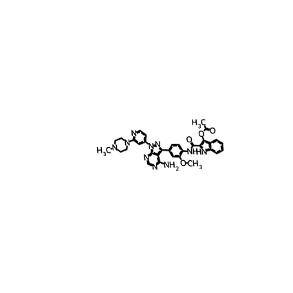 COc1cc(-c2nn(-c3ccnc(N4CCN(C)CC4)c3)c3ncnc(N)c23)ccc1NC(=O)c1[nH]c2ccccc2c1OC(C)=O